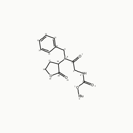 CC(C)(C)OC(=O)NCC(=O)N(Cc1ccccc1)C1CCOC1=O